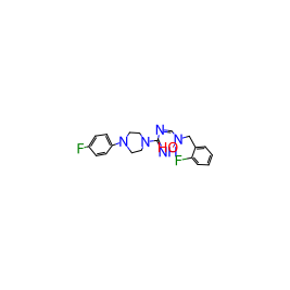 N=C(/N=C\N(O)Cc1ccccc1F)N1CCN(c2ccc(F)cc2)CC1